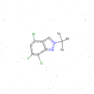 [2H]C([2H])([2H])n1cc2c(Br)cc(F)c(Cl)c2n1